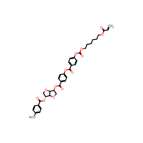 C=CC(=O)OCCCCCCOC(=O)Oc1ccc(C(=O)Oc2ccc(C(=O)O[C@H]3COC4C3OC[C@H]4OC(=O)c3ccc(OC(C)=O)cc3)cc2)cc1